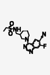 CCS(=O)(=O)NCC1CCCN(c2ncnc3cc(F)c(C#N)cc23)C1